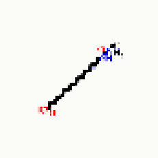 CCNC(=O)NC/C=C/CCCCCCCCCCCCC(=O)O